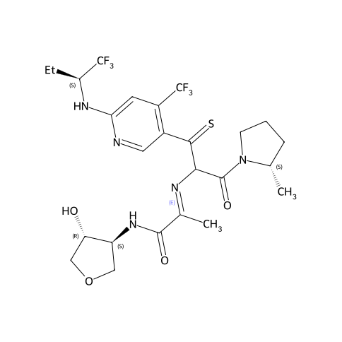 CC[C@H](Nc1cc(C(F)(F)F)c(C(=S)C(/N=C(\C)C(=O)N[C@H]2COC[C@@H]2O)C(=O)N2CCC[C@@H]2C)cn1)C(F)(F)F